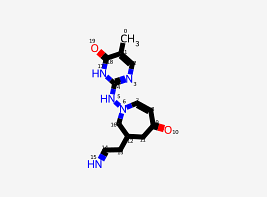 Cc1cnc(NN2C=CC(=O)CC(CC=N)C2)[nH]c1=O